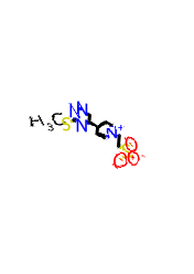 CSc1nncc(-c2cc[n+](CCS(=O)(=O)[O-])cc2)n1